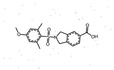 COc1cc(C)c(S(=O)(=O)N2Cc3ccc(C(=O)O)cc3C2)c(C)c1